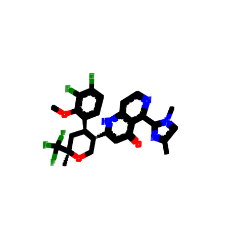 COc1c([C@@H]2C[C@](C)(C(F)(F)F)OC[C@H]2c2cc(=O)c3c(-c4nc(C)cn4C)nccc3[nH]2)ccc(F)c1F